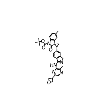 Cc1ccc2c(c1)[C@]1(C[C@H]1c1ccc3c(c1)CN=C3Nc1nc(C3COC3)cnc1C)C(=O)N2C(=O)OC(C)(C)C